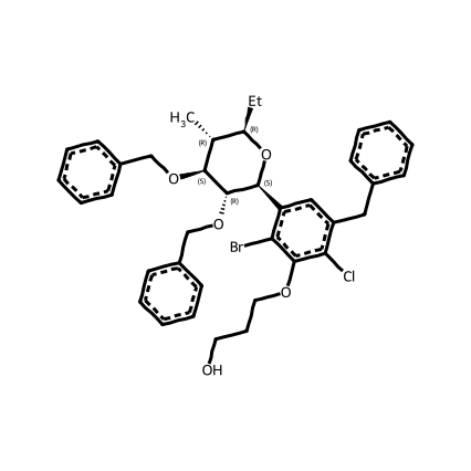 CC[C@H]1O[C@@H](c2cc(Cc3ccccc3)c(Cl)c(OCCCO)c2Br)[C@H](OCc2ccccc2)[C@@H](OCc2ccccc2)[C@@H]1C